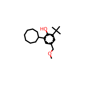 COCc1cc(C2CCCCCCC2)c(O)c(C(C)(C)C)c1